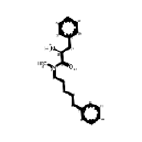 CN(CCCCCc1ccccc1)C(=O)[C@@H](N)Cc1ccccc1